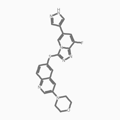 Fc1cc(-c2cn[nH]c2)cn2c(Sc3ccc4ncc(N5CCOCC5)cc4c3)nnc12